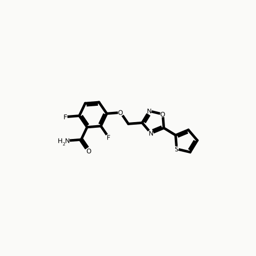 NC(=O)c1c(F)ccc(OCc2noc(-c3cccs3)n2)c1F